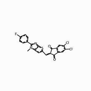 Cn1c(-c2ccc(F)cc2)nc2sc(C=C3C(=O)c4cc(Cl)c(Cl)cc4C3=O)cc21